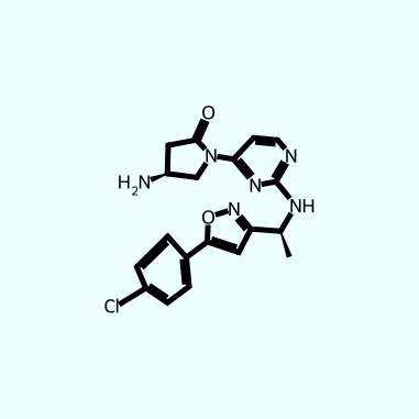 C[C@H](Nc1nccc(N2C[C@@H](N)CC2=O)n1)c1cc(-c2ccc(Cl)cc2)on1